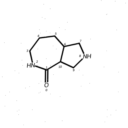 O=C1NCCCC2CNCC12